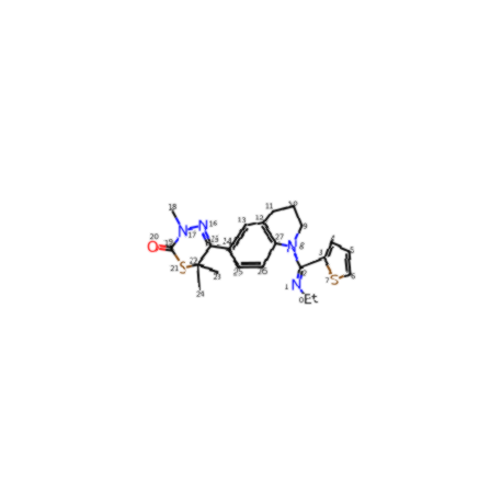 CCN=C(c1cccs1)N1CCCc2cc(C3=NN(C)C(=O)SC3(C)C)ccc21